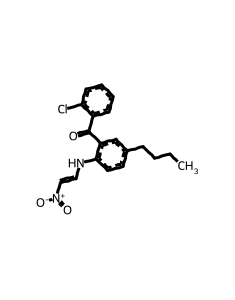 CCCCc1ccc(NC=C[N+](=O)[O-])c(C(=O)c2ccccc2Cl)c1